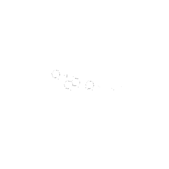 CCCN(CC1CC1)C1CCN(c2cc(C(F)(F)F)c(-c3cnc4c(Nc5ccc(C(F)(F)F)cn5)ccnc4n3)nn2)CC1